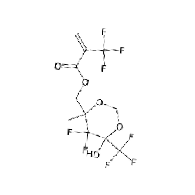 C=C(C(=O)OCC1(C)OCOC(O)(C(F)(F)F)C1(F)F)C(F)(F)F